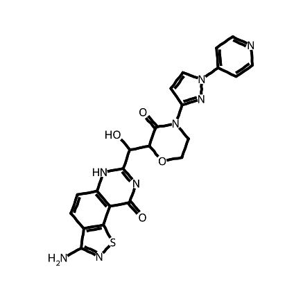 Nc1nsc2c1ccc1[nH]c(C(O)C3OCCN(c4ccn(-c5ccncc5)n4)C3=O)nc(=O)c12